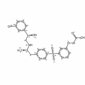 CC(=O)OOc1cccc(S(=O)(=O)c2ccc(C[C@@H](C)NC[C@H](O)c3cccc(Cl)c3)cc2)c1